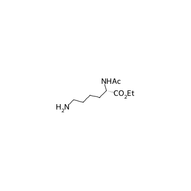 CCOC(=O)[C@H](CCCCN)NC(C)=O